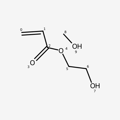 C=CC(=O)OCCO.CO